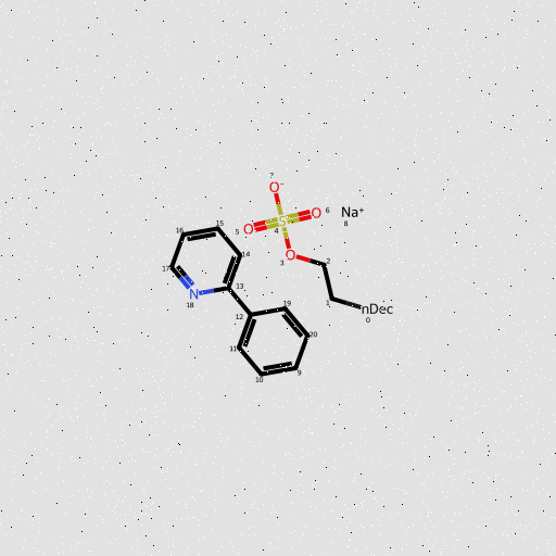 CCCCCCCCCCCCOS(=O)(=O)[O-].[Na+].c1ccc(-c2ccccn2)cc1